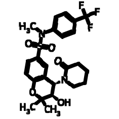 CN(c1ccc(C(F)(F)F)cc1)S(=O)(=O)c1ccc2c(c1)[C@H](N1CCCCC1=O)[C@@H](O)C(C)(C)O2